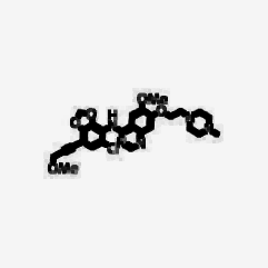 COCC#Cc1cc(Cl)c(Nc2ncnc3cc(OCCN4CCN(C)CC4)c(OC)cc23)c2c1OCO2